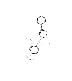 COC(C(=O)O)(c1ccc(S(N)(=O)=O)cc1)c1cc(-c2ccccc2)no1